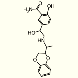 CC(NCC(O)c1ccc(O)c(C(N)=O)c1)C1COc2ccccc2O1